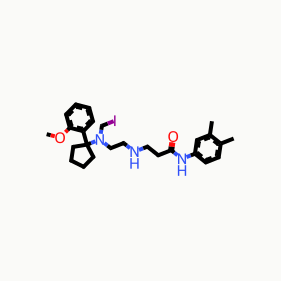 COc1ccccc1C1(N(CI)CCNCCC(=O)Nc2ccc(C)c(C)c2)CCCC1